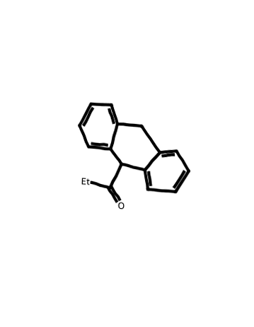 CCC(=O)C1c2ccccc2Cc2ccccc21